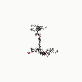 O=C(O)CC[C@H](NC(=O)NC(CCCCNC(=O)Nc1cccc(-c2cn(CCOCCOCCOCCC(=O)N[C@@H](CCCCNC(=S)Nc3ccc(CC4CN(CC(=O)O)CCN(CC(=O)O)CCN(CC(=O)O)CCN4CC(=O)O)cc3)C(=O)NC(CCCCNC(=O)CCCc3ccc(I)cc3)C(=O)O)nn2)c1)C(=O)O)C(=O)O